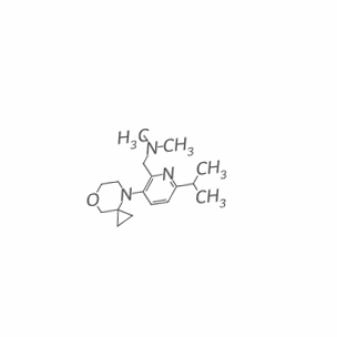 CC(C)c1ccc(N2CCOCC23CC3)c(CN(C)C)n1